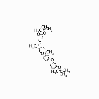 CCC1(CCOCC(=O)OC(C)(C)C)CCC(C)(c2cccc(Oc3cccc(OC(C)(C)C)c3)c2)OC1